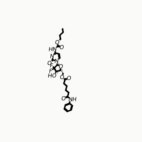 CCCCOC(=O)Nc1ccn([C@@H]2O[C@H](COC(=O)CCCCC(=O)Nc3ccccc3)[C@@H](O)C2(F)F)c(=O)n1